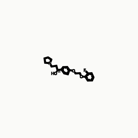 O[C@@H](CCN1CCCC1)c1ccc(OCCOc2ccccc2F)cc1